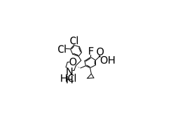 Cl.O=C(O)c1cc(C2CC2)c(C[C@]2(Cc3ccc(Cl)c(Cl)c3)CNCCO2)cc1F